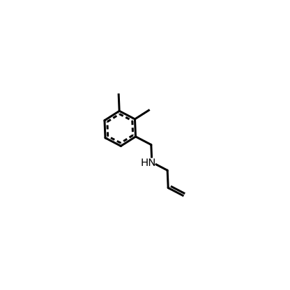 C=CCNCc1cccc(C)c1C